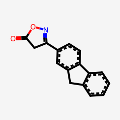 O=C1CC(c2ccc3c(c2)Cc2ccccc2-3)=NO1